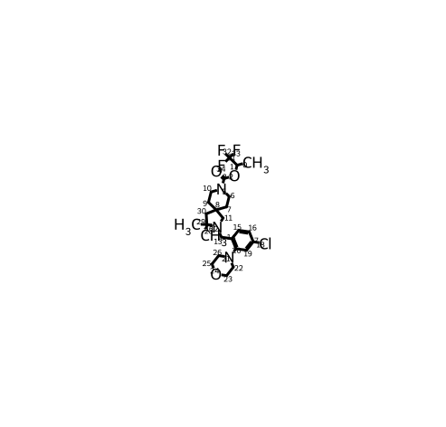 CC(OC(=O)N1CCC2(CC1)CN(Cc1ccc(Cl)cc1N1CCOCC1)C(C)(C)C2)C(F)(F)F